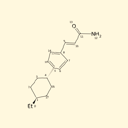 CC[C@H]1CC[C@H](c2ccc(C=CC(N)=O)cc2)CC1